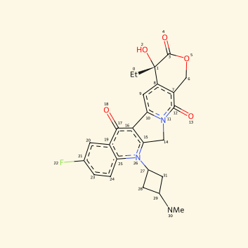 CC[C@@]1(O)C(=O)OCc2c1cc1n(c2=O)Cc2c-1c(=O)c1cc(F)ccc1n2C1CC(NC)C1